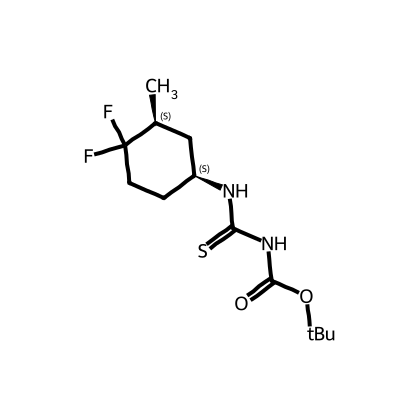 C[C@H]1C[C@@H](NC(=S)NC(=O)OC(C)(C)C)CCC1(F)F